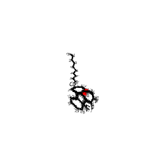 CCCCCCCCCCOc1cccc(C2=CC=CCC2(F)c2cccc(F)c2F)c1